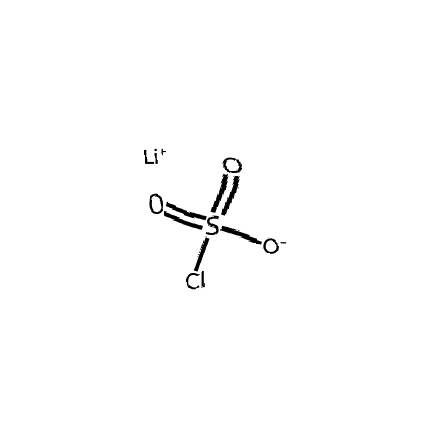 O=S(=O)([O-])Cl.[Li+]